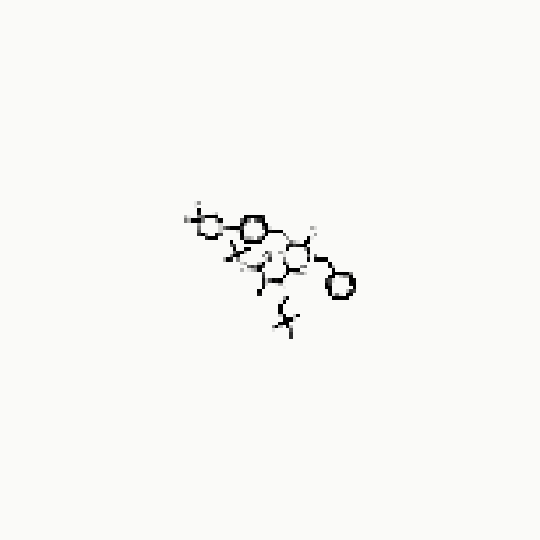 CN(C(=O)OC(C)(C)C)[C@@H](CCC(C)(C)F)C(=O)O[C@H](Cc1ccc(N2CCC(F)(F)C2)cc1)C(=O)OCc1ccccc1